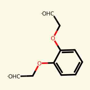 O=[C]COc1ccccc1OC[C]=O